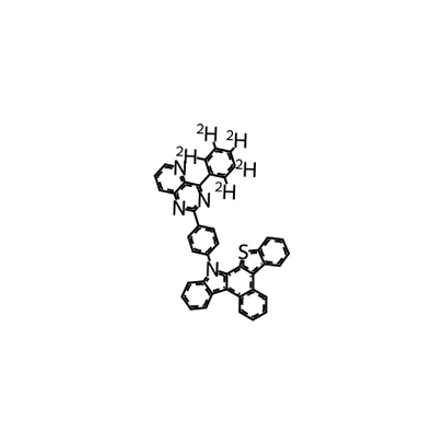 [2H]c1c([2H])c([2H])c(-c2nc(-c3ccc(-n4c5ccccc5c5c6ccccc6c6c7ccccc7sc6c54)cc3)nc3cccnc23)c([2H])c1[2H]